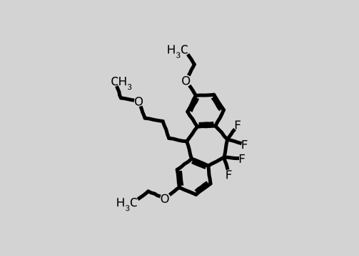 CCOCCCC1c2cc(OCC)ccc2C(F)(F)C(F)(F)c2ccc(OCC)cc21